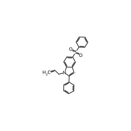 C=CCn1c(-c2ccccc2)[c]c2cc(S(=O)(=O)c3ccccc3)ccc21